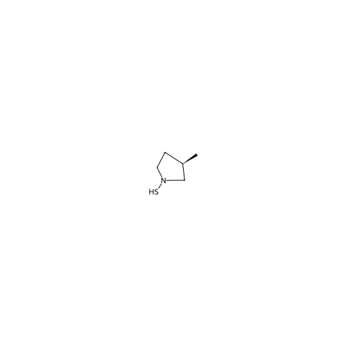 C[C@@H]1CCN(S)C1